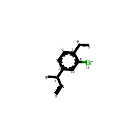 C=C[C](C)c1ccc(CC)c(Br)c1